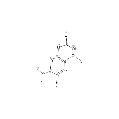 COc1cc(F)c(C(C)C)cc1OB(O)O